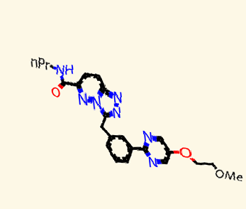 CCCNC(=O)c1ccc2nnc(Cc3cccc(-c4ncc(OCCOC)cn4)c3)n2n1